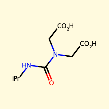 CC(C)NC(=O)N(CC(=O)O)CC(=O)O